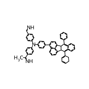 CC(=N)c1ccc(N(c2ccc(C=N)cc2)c2ccc(-c3ccc4c5c(cccc35)C3C(C5=CC=CCC5)=c5ccccc5=C(c5ccccc5)C43)cc2)cc1